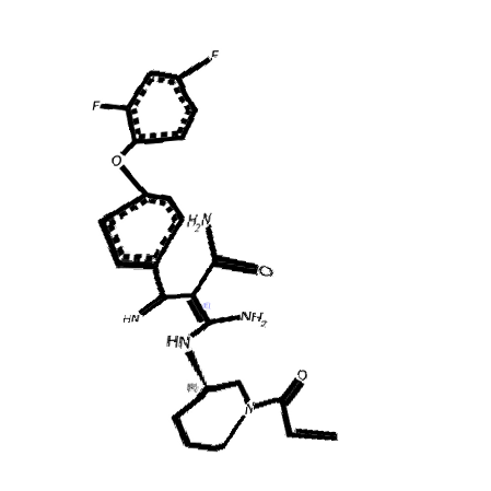 C=CC(=O)N1CCC[C@@H](N/C(N)=C(\C(=N)c2ccc(Oc3ccc(F)cc3F)cc2)C(N)=O)C1